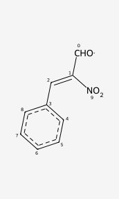 O=[C]C(=Cc1ccccc1)[N+](=O)[O-]